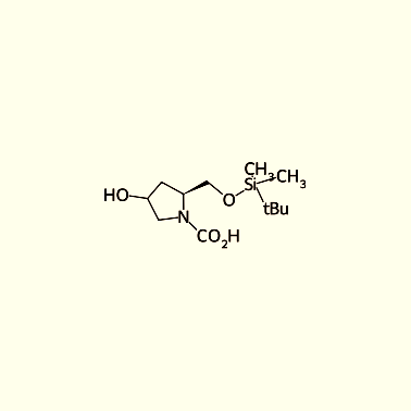 CC(C)(C)[Si](C)(C)OC[C@@H]1CC(O)CN1C(=O)O